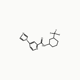 O=C(NC1CCCC(C(F)(F)F)C1)c1cc(-n2ccnc2)ccn1